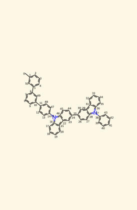 Cc1cccc(-c2cccc(-c3ccc(-n4c5ccccc5c5cc(-c6ccc7c(c6)c6ccccc6n7-c6ccccc6)ccc54)cc3)c2)c1